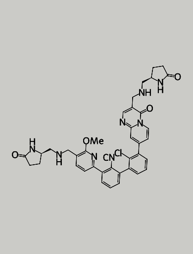 COc1nc(-c2cccc(-c3cccc(-c4ccn5c(=O)c(CNC[C@H]6CCC(=O)N6)cnc5c4)c3Cl)c2C#N)ccc1CNC[C@H]1CCC(=O)N1